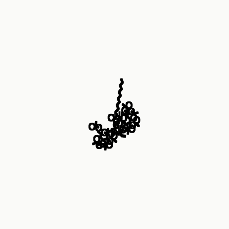 C=CC(=O)NC(COC(=O)NCCCCCCCCCCC)(CO[C@@H]1OC(COC(C)=O)[C@@H](OC(C)=O)[C@H](OC(C)=O)C1OC(C)=O)CO[C@@H]1OC(COC(C)=O)[C@@H](OC(C)=O)[C@H](OC(C)=O)C1OC(C)=O